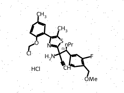 C#CC(N)(c1nc(-c2cc(C)ccc2OCCl)c(C)s1)[C@@H](CCC)c1ccc(COC)c(F)c1.Cl